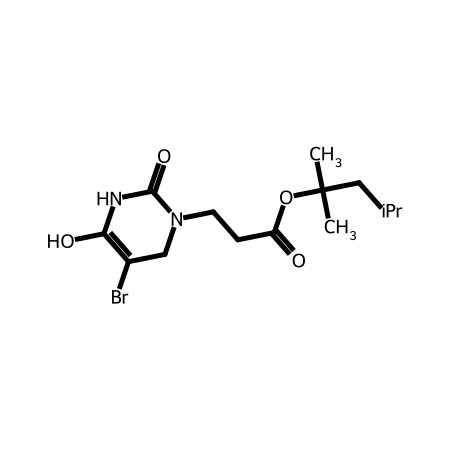 CC(C)CC(C)(C)OC(=O)CCN1CC(Br)=C(O)NC1=O